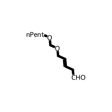 CCCCCOCOCC=CCC=O